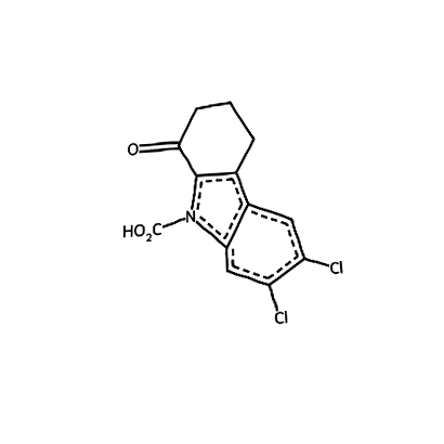 O=C1CCCc2c1n(C(=O)O)c1cc(Cl)c(Cl)cc21